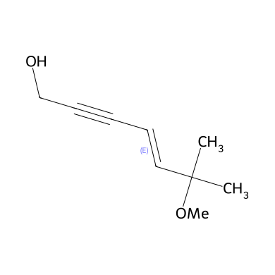 COC(C)(C)/C=C/C#CCO